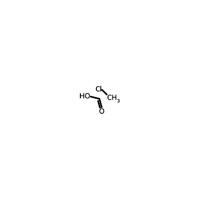 CCl.O=CO